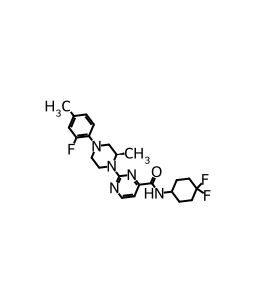 Cc1ccc(N2CCN(c3nccc(C(=O)NC4CCC(F)(F)CC4)n3)[C@H](C)C2)c(F)c1